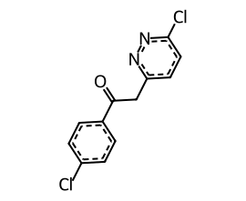 O=C(Cc1ccc(Cl)nn1)c1ccc(Cl)cc1